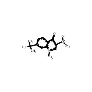 Cn1cc([S+](C)[O-])c(=O)c2ccc(C(C)(C)C)cc21